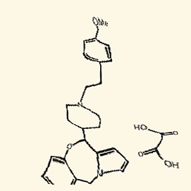 COc1ccc(CCN2CCC(C3Oc4ccccc4Cn4cccc43)CC2)cc1.O=C(O)C(=O)O